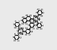 c1ccc(-c2cc(-c3ccccc3)nc(-c3cccc(-c4cccc(-c5c(-c6nc(-c7ccccc7)nc(-c7ccccc7)n6)ccc6ccccc56)c4)c3)n2)cc1